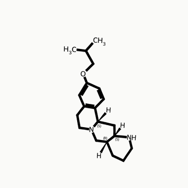 CC(C)COc1ccc2c(c1)CCN1C[C@H]3CCCN[C@H]3C[C@@H]21